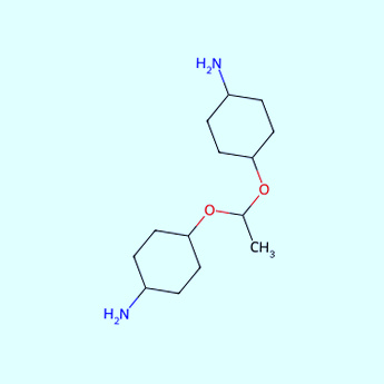 CC(OC1CCC(N)CC1)OC1CCC(N)CC1